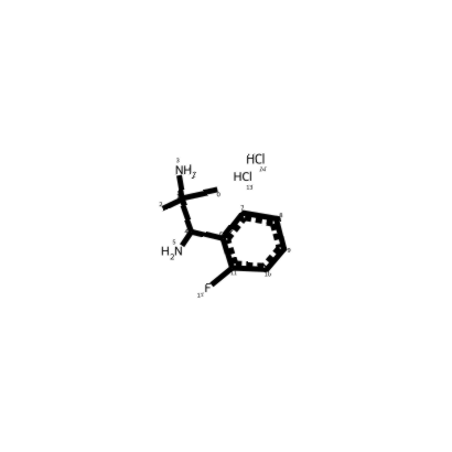 CC(C)(N)C(N)c1ccccc1F.Cl.Cl